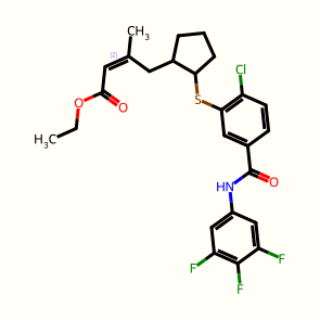 CCOC(=O)/C=C(/C)CC1CCCC1Sc1cc(C(=O)Nc2cc(F)c(F)c(F)c2)ccc1Cl